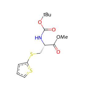 COC(=O)[C@H](CSc1cccs1)NC(=O)OC(C)(C)C